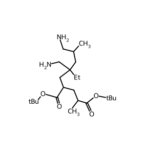 CCC(CN)(CC(C)CN)CC(CC(C)C(=O)OC(C)(C)C)C(=O)OC(C)(C)C